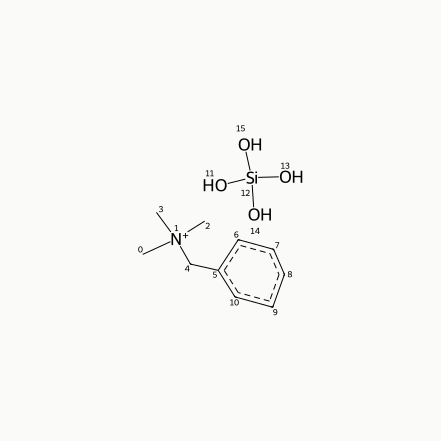 C[N+](C)(C)Cc1ccccc1.O[Si](O)(O)O